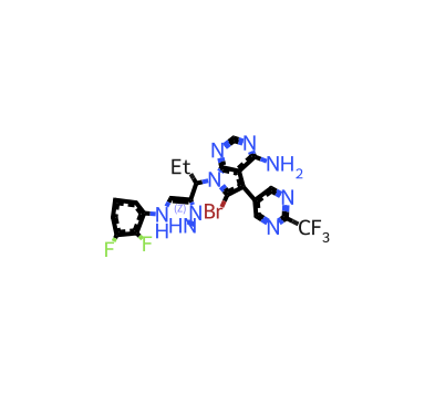 CCC(/C(=C/Nc1cccc(F)c1F)N=N)n1c(Br)c(-c2cnc(C(F)(F)F)nc2)c2c(N)ncnc21